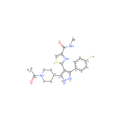 CC(C)NC(=O)c1csc(-c2c(-c3ccc(F)cc3)n[nH]c2C2CCN(C(=O)C(F)(F)F)CC2)n1